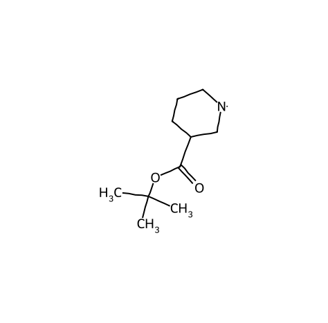 CC(C)(C)OC(=O)C1CCC[N]C1